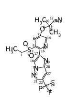 CCS(=O)(=O)c1cc(OC(C)(C)C#N)cnc1-c1cn2ncc(C(F)(F)F)cc2n1